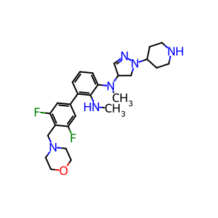 CNc1c(-c2cc(F)c(CN3CCOCC3)c(F)c2)cccc1N(C)C1C=NN(C2CCNCC2)C1